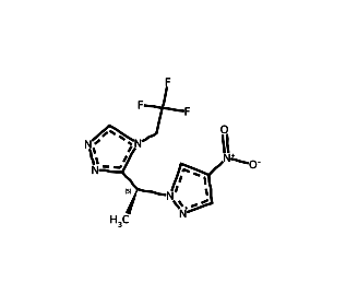 C[C@@H](c1nncn1CC(F)(F)F)n1cc([N+](=O)[O-])cn1